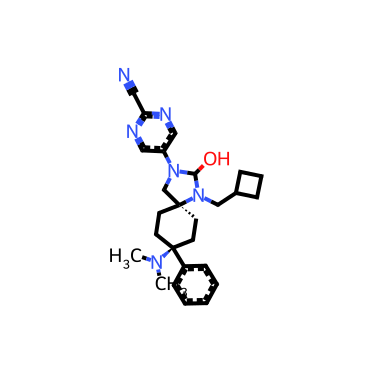 CN(C)[C@]1(c2ccccc2)CC[C@]2(CC1)CN(c1cnc(C#N)nc1)C(O)N2CC1CCC1